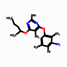 CSc1nc(Oc2cc(C)c(C#N)c(N)c2C)c([N+](=O)[O-])c(OC(CCC(=O)O)C(=O)O)n1